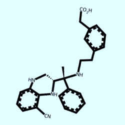 C[C@@](NCCc1cccc(CC(=O)O)c1)(c1ccccc1)[C@H]1CNc2cccc(C#N)c2N1